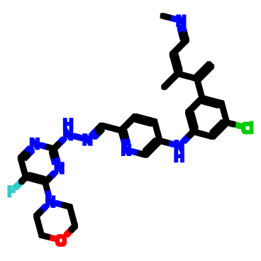 C=C(/C(C)=C\C=N/C)c1cc(Cl)cc(Nc2ccc(/C=N/Nc3ncc(F)c(N4CCOCC4)n3)nc2)c1